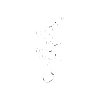 C=C(OCC1=CC=CC=CC1)/C(=C\C(=CCC(C)C)C(=O)NCC(C)(CCC(C)(F)F)N(C)C)CC